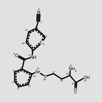 N#Cc1ccc(NC(=O)c2ccccc2[Se]SCCC(N)C(=O)O)cc1